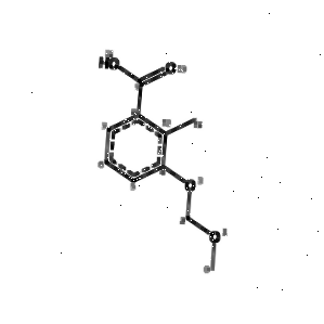 COCOc1cccc(C(=O)O)c1C